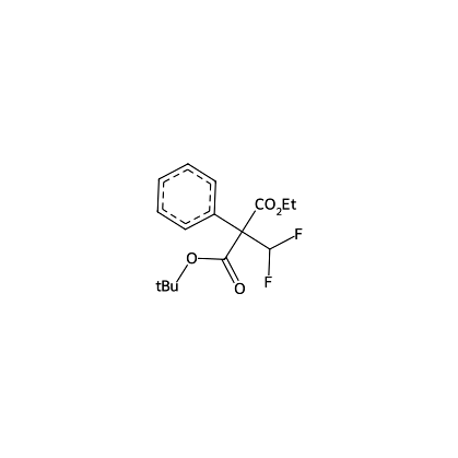 CCOC(=O)C(C(=O)OC(C)(C)C)(c1ccccc1)C(F)F